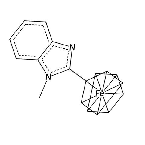 Cn1c([C]23[CH]4[CH]5[CH]6[CH]2[Fe]56432789[CH]3[CH]2[CH]7[CH]8[CH]39)nc2ccccc21